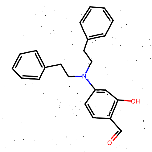 O=Cc1ccc(N(CCc2ccccc2)CCc2ccccc2)cc1O